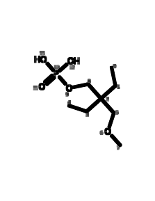 CCC(CC)(COC)COP(=O)(O)O